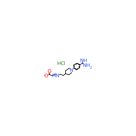 COC(=O)CCNCCC1CCN(c2ccc(C(=N)N)cc2)CC1.Cl